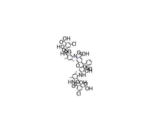 Cc1cc(C)c(NS(=O)(=O)c2cc(Cl)cc(C(=O)O)c2O)c(C)c1/N=c1\cc2oc3cc(Nc4c(C)cc(C)c(NS(=O)(=O)c5cc(Cl)cc(C(=O)O)c5O)c4C)ccc3c(-c3ccccc3S(=O)(=O)O)c-2cc1S(=O)O